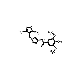 COc1cc(C(=O)Nc2cnn(Cc3c(C)noc3C)c2)cc(OC)c1O